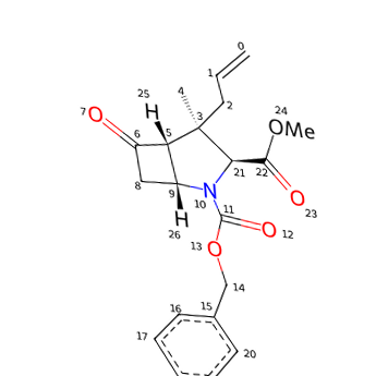 C=CC[C@]1(C)[C@H]2C(=O)C[C@H]2N(C(=O)OCc2ccccc2)[C@@H]1C(=O)OC